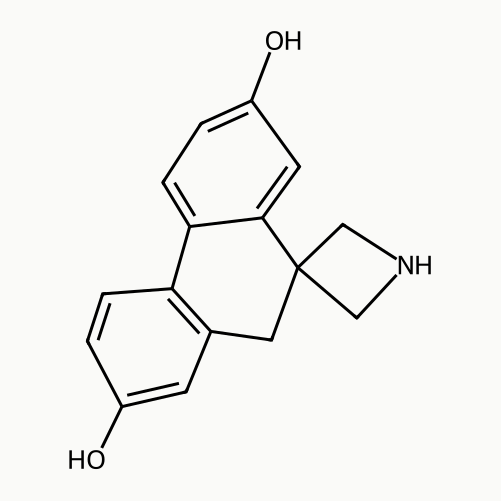 Oc1ccc2c(c1)CC1(CNC1)c1cc(O)ccc1-2